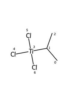 C[CH](C)[Ti]([Cl])([Cl])[Cl]